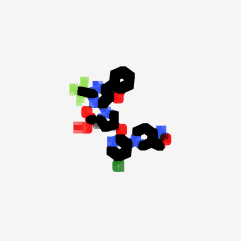 O=C(O)[C@@H]1C[C@H](Oc2ncc(Cl)cc2N2CCc3nocc3C2)CN1c1nc(C(F)(F)F)nc2c1oc1ccccc12